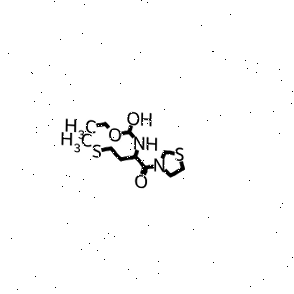 CCOC(O)NC(CCSC)C(=O)N1CCSC1